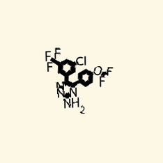 Nc1nnc(-c2cc(Cl)cc(C(F)(F)F)c2)c(-c2ccc(OC(F)F)cc2)n1